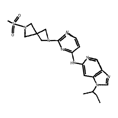 CC(C)n1cnc2cnc(Nc3ccnc(N4CC5(C4)CN(S(C)(=O)=O)C5)n3)cc21